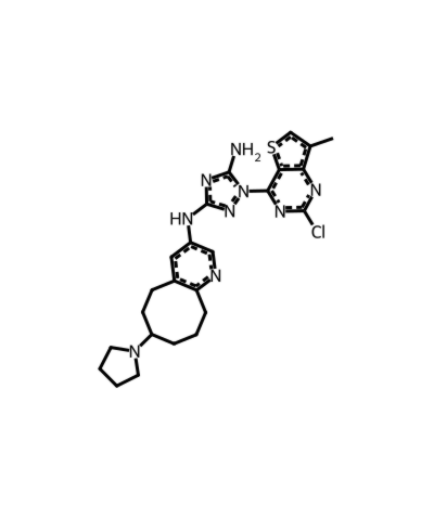 Cc1csc2c(-n3nc(Nc4cnc5c(c4)CCC(N4CCCC4)CCC5)nc3N)nc(Cl)nc12